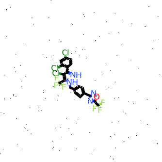 N=C(/C(Cl)=C(\NCc1ccc(-c2noc(C(F)(F)F)n2)cc1)C(F)(F)F)c1ccc(Cl)cc1Cl